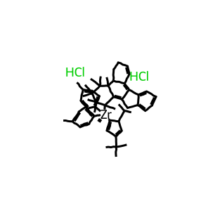 Cl.Cl.[CH2]=[Zr]([C]1=CC(C(C)(C)C)=CC1C(C)C)([c]1ccc(C)cc1)([c]1ccc(C)cc1)[C]1(C)C2=C3Cc4ccccc4C3=C3C=CCCC3C2(C)C(C)(C)C(C)(C)C1(C)C